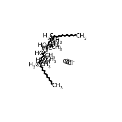 CCCCCCCCCCCC[N+](C)(C)CC(O)CC(C(O)COCC(O)C(CC(O)C[N+](C)(C)CCCCCCCCCCCC)[N+](C)(C)C)[N+](C)(C)C.[Cl-].[Cl-].[Cl-].[Cl-]